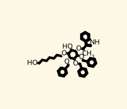 CC(OC1C(O)C(OCCCCCCCO)C(OCc2ccccc2)C(OCc2ccccc2)C1OCc1ccccc1)c1c[nH]c2ccccc12